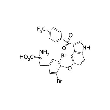 N[C@@H](Cc1cc(Br)c(Oc2ccc3[nH]cc(S(=O)(=O)c4ccc(C(F)(F)F)cc4)c3c2)c(Br)c1)C(=O)O